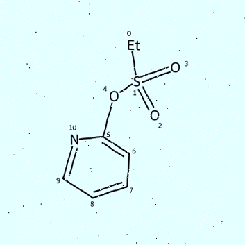 CCS(=O)(=O)Oc1ccccn1